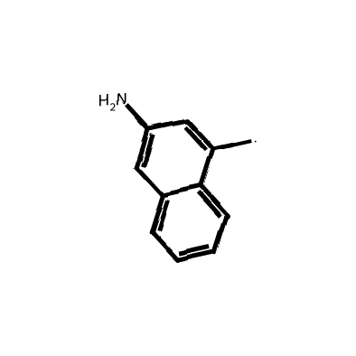 [CH2]c1cc(N)cc2ccccc12